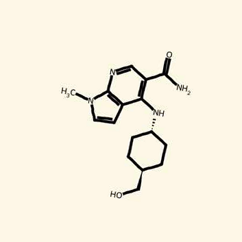 Cn1ccc2c(N[C@H]3CC[C@H](CO)CC3)c(C(N)=O)cnc21